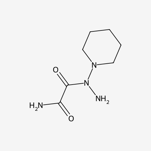 NC(=O)C(=O)N(N)N1CCCCC1